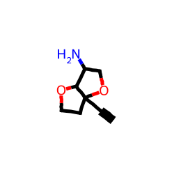 C#CC12CCOC1C(N)CO2